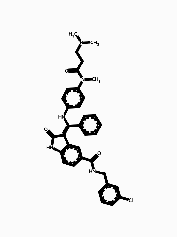 CN(C)CCC(=O)N(C)c1ccc(N/C(=C2\C(=O)Nc3ccc(C(=O)NCc4cccc(Cl)c4)cc32)c2ccccc2)cc1